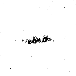 Cc1ccn(-c2ccc(-c3nnc(OC4CC5NC(C)(C4)CC5C)s3)c(O)c2)n1